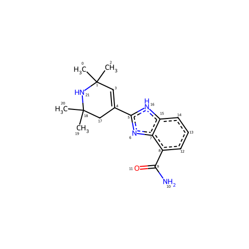 CC1(C)C=C(c2nc3c(C(N)=O)cccc3[nH]2)CC(C)(C)N1